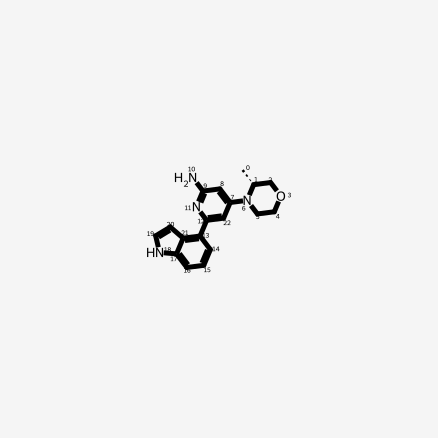 C[C@@H]1COCCN1c1cc(N)nc(-c2cccc3[nH]ccc23)c1